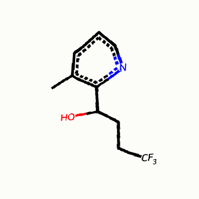 Cc1cccnc1C(O)CCC(F)(F)F